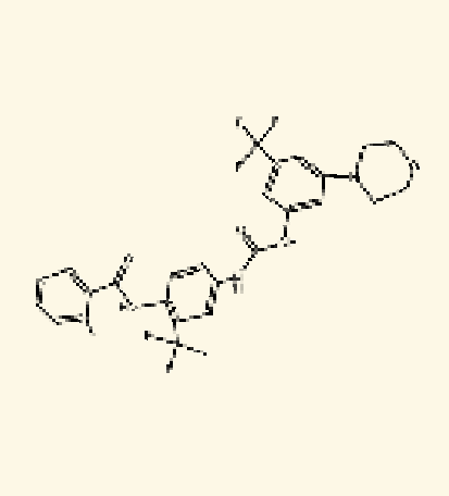 O=C(Nc1cc(N2CCOCC2)cc(C(F)(F)F)c1)Nc1ccc(NC(=O)c2ccccc2F)c(C(F)(F)F)c1